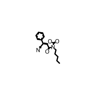 CCCCCN1C(=O)OC(=C(C#N)c2ccccc2)C1=O